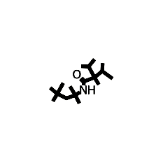 CC(C)C(C)(C(=O)NC(C)(C)CC(C)(C)C)C(C)C